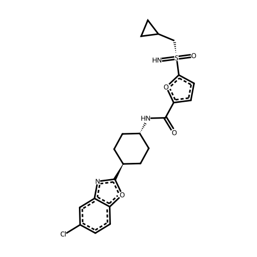 N=[S@](=O)(CC1CC1)c1ccc(C(=O)N[C@H]2CC[C@H](c3nc4cc(Cl)ccc4o3)CC2)o1